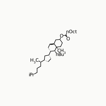 CCCCCCCCC(=O)O[C@H]1CC[C@@]2(C)C(=CC[C@@H]([C@@H]3CC[C@H]([C@H](C)CCCC(C)C)C3)[C@@H]2CCCC)C1